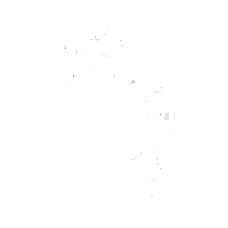 CC(C)(Cc1ccc2c(c1)CCC2)NC[C@@H](O)COCc1cccc2c1[C@@H]1[C@H](C2)[C@@]1(C)C(=O)O